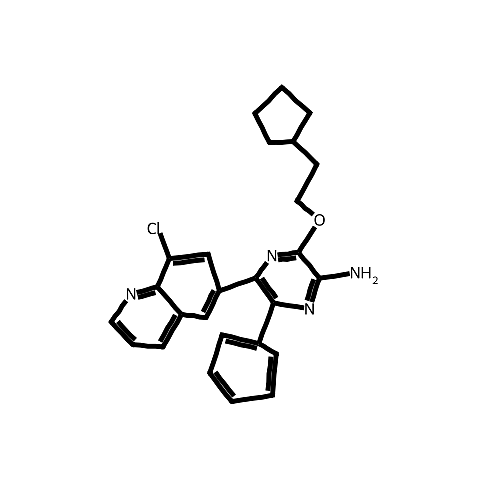 Nc1nc(-c2ccccc2)c(-c2cc(Cl)c3ncccc3c2)nc1OCCC1CCCC1